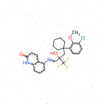 COc1c(Cl)cccc1C1(CC(O)(C=Nc2cccc3[nH]c(=O)ccc23)C(F)(F)F)CCCCC1